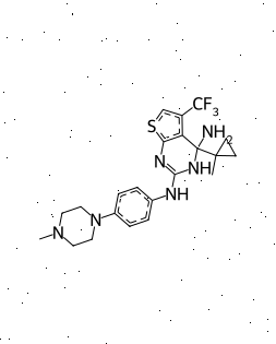 CN1CCN(c2ccc(NC3=Nc4scc(C(F)(F)F)c4C(N)(C4(C)CC4)N3)cc2)CC1